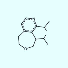 CC(C)c1nccc2c1C(C(C)C)COCC2